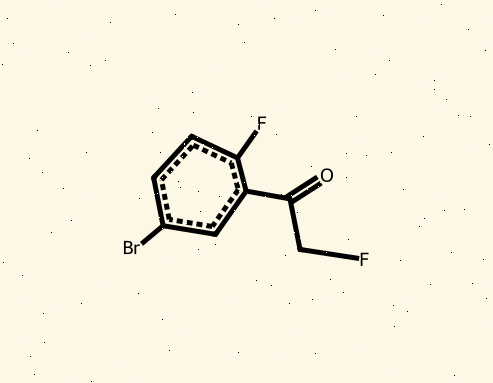 O=C(CF)c1cc(Br)ccc1F